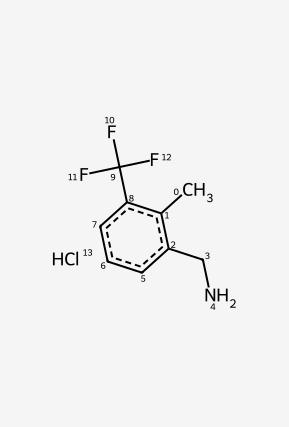 Cc1c(CN)cccc1C(F)(F)F.Cl